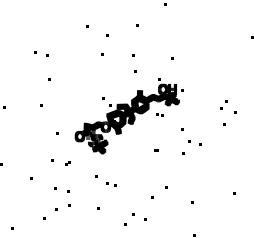 CCC(CC)(c1ccc(CC[C@@H](O)C(C)(C)C)c(C)c1)c1ccc(OCC2CC(=O)N2[Si](C)(C)C(C)(C)C)c(C)c1